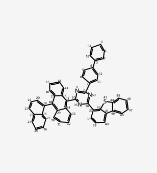 c1ccc(-c2ccc(-c3nc(-c4c5ccccc5c(-c5cccc6ccccc56)c5ccccc45)nc(-c4cccc5c4sc4ccccc45)n3)cc2)cc1